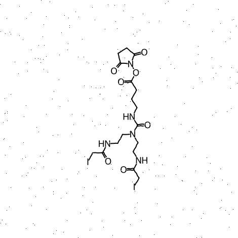 O=C(CI)NCCN(CCNC(=O)CI)C(=O)NCCCC(=O)ON1C(=O)CCC1=O